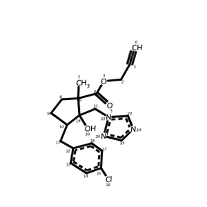 C#CCOC(=O)C1(C)CCC(Cc2ccc(Cl)cc2)C1(O)Cn1cncn1